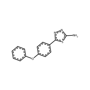 Nc1nnc(-c2ccc(Oc3ccccc3)cc2)s1